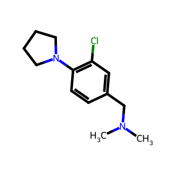 CN(C)Cc1ccc(N2CCCC2)c(Cl)c1